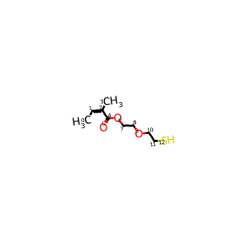 CC=C(C)C(=O)OCCOCCS